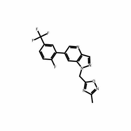 Cc1noc(Cn2ncc3ncc(-c4cc(C(F)(F)F)ccc4F)cc32)n1